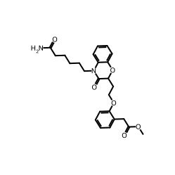 COC(=O)Cc1ccccc1OCCC1Oc2ccccc2N(CCCCCC(N)=O)C1=O